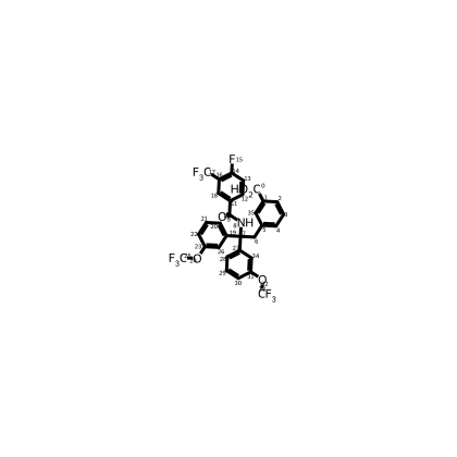 O=C(O)c1cccc(CC(NC(=O)c2ccc(F)c(C(F)(F)F)c2)(c2cccc(OC(F)(F)F)c2)c2cccc(OC(F)(F)F)c2)c1